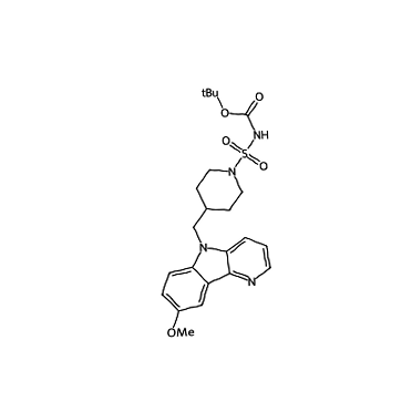 COc1ccc2c(c1)c1ncccc1n2CC1CCN(S(=O)(=O)NC(=O)OC(C)(C)C)CC1